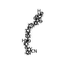 N#Cc1ccc(OC2CCC(NC(=O)c3ccc(N4CCC(CN5CCN(c6ccc7c(c6)C(=O)N(C6CCC(=O)NC6=O)C7=O)CC5)CC4)nc3)CC2)c2cccnc12